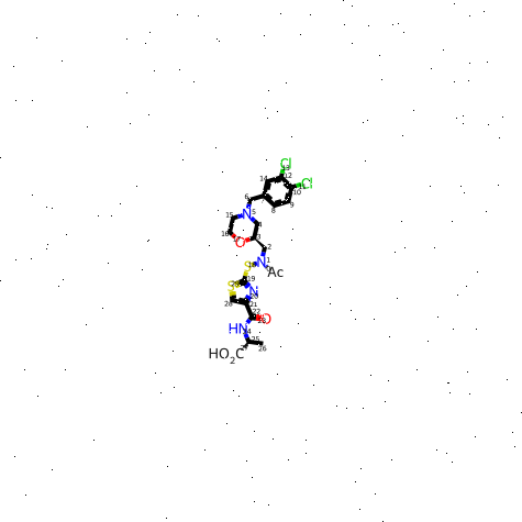 CC(=O)N(C[C@@H]1CN(Cc2ccc(Cl)c(Cl)c2)CCO1)Sc1nc(C(=O)N[C@@H](C)C(=O)O)cs1